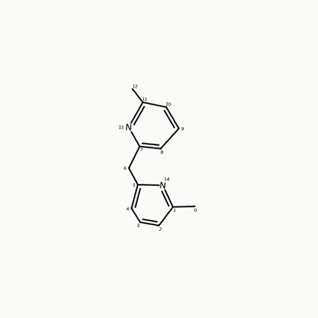 Cc1cccc(Cc2cccc(C)n2)n1